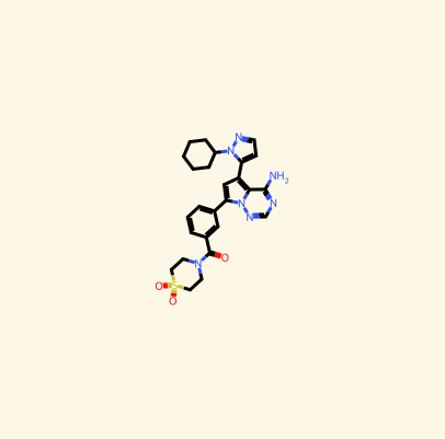 Nc1ncnn2c(-c3cccc(C(=O)N4CCS(=O)(=O)CC4)c3)cc(-c3ccnn3C3CCCCC3)c12